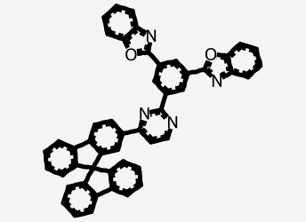 c1ccc2c(c1)-c1ccccc1C21c2ccccc2-c2ccc(-c3ccnc(-c4cc(-c5nc6ccccc6o5)cc(-c5nc6ccccc6o5)c4)n3)cc21